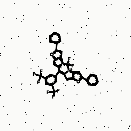 F[B-]1(F)n2c(cc3oc(-c4ccccc4)cc32)C(c2cc(C(F)(F)F)cc(C(F)(F)F)c2)=C2C=c3oc(-c4ccccc4)cc3=[N+]21